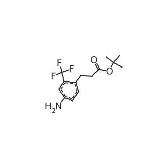 CC(C)(C)OC(=O)CCc1ccc(N)cc1C(F)(F)F